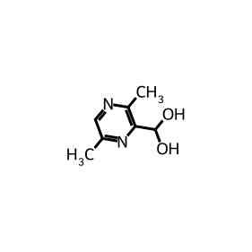 Cc1cnc(C)c(C(O)O)n1